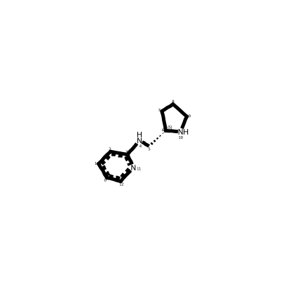 c1ccc(NC[C@@H]2CCCN2)nc1